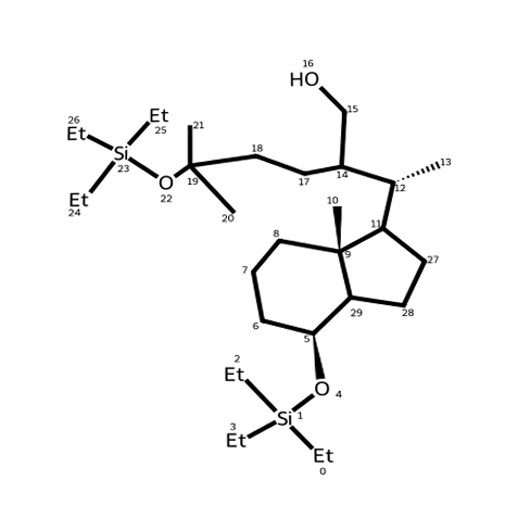 CC[Si](CC)(CC)O[C@H]1CCC[C@]2(C)C([C@@H](C)C(CO)CCC(C)(C)O[Si](CC)(CC)CC)CCC12